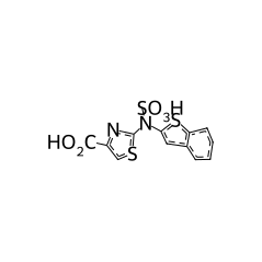 O=C(O)c1csc(N(c2cc3ccccc3s2)S(=O)(=O)O)n1